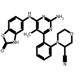 Cc1c(Nc2ccc3oc(=O)[nH]c3c2)nc(N)nc1-c1ccccc1N1CCOCC1C#N